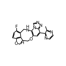 Cc1nccnc1-c1cc2c(n3cnnc13)NCc1c(F)ccc3c1[C@H](CO3)CO2